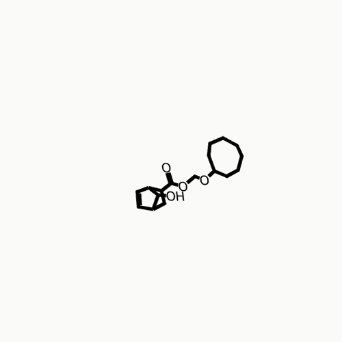 O=C(OCOC1CCCCCCC1)C1CC2C=CC1C2O